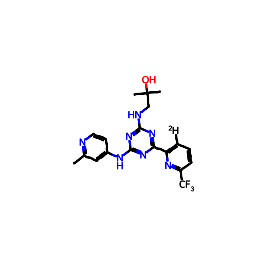 [2H]c1ccc(C(F)(F)F)nc1-c1nc(NCC(C)(C)O)nc(Nc2ccnc(C)c2)n1